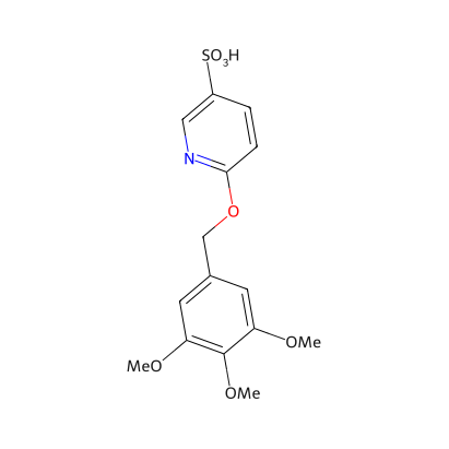 COc1cc(COc2ccc(S(=O)(=O)O)cn2)cc(OC)c1OC